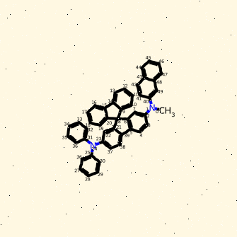 CN(c1ccc2c(c1)C1(c3ccccc3-c3ccccc31)c1cc(N(c3ccccc3)c3ccccc3)ccc1-2)c1ccc2ccccc2c1